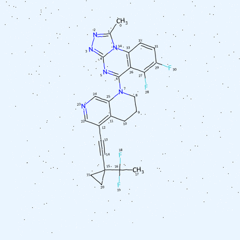 Cc1nnc2nc(N3CCCc4c(C#CC5(C(C)(F)F)CC5)cncc43)c3c(F)c(F)ccc3n12